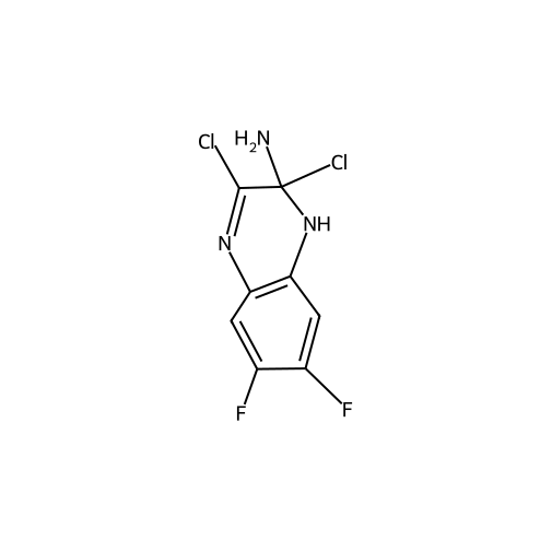 NC1(Cl)Nc2cc(F)c(F)cc2N=C1Cl